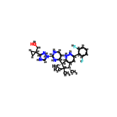 C[C@H]1c2cc(-c3c(F)cccc3F)nnc2[C@](C)(c2ccnc(-n3cnc(C4(CO)CC4)n3)n2)C1(C)C